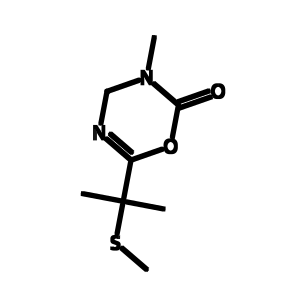 CSC(C)(C)C1=NCN(C)C(=O)O1